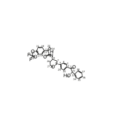 O=C(c1ccc([C@@H]2C[C@H](NC(=O)C3(c4ccc5c(c4)OC(F)(F)O5)CC3)CCO2)cc1)C(O)c1ccccc1